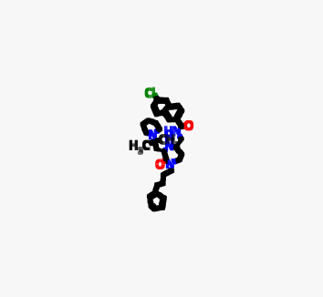 CC(C)(C[C@H]1N[C@@H](CNC(=O)c2ccc3cc(Cl)ccc3c2)CCN(CCCCc2ccccc2)C1=O)N1CCCCC1